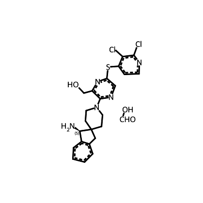 N[C@@H]1c2ccccc2CC12CCN(c1ncc(Sc3ccnc(Cl)c3Cl)nc1CO)CC2.O=CO